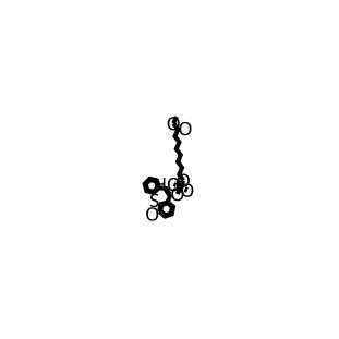 COC(=O)CCCCCCCOP(=O)(O)OC1=Cc2ccccc2Sc2c(OC)cccc21